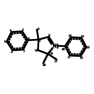 CC1(c2ccccc2)C=[N+](c2ccccc2)C(C)(C)C1